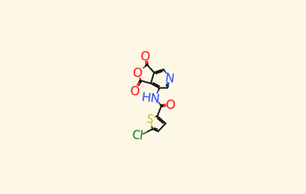 O=C(Nc1cncc2c1C(=O)OC2=O)c1ccc(Cl)s1